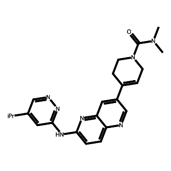 CC(C)c1cnnc(Nc2ccc3ncc(C4=CCN(C(=O)N(C)C)CC4)cc3n2)c1